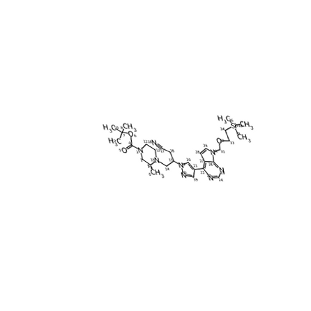 C[C@H]1CN(C(=O)OC(C)(C)C)CCN1CC(CC#N)n1cc(-c2ncnc3c2ccn3COCC[Si](C)(C)C)cn1